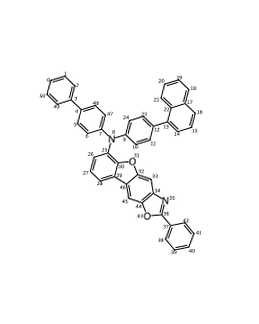 c1ccc(-c2ccc(N(c3ccc(-c4cccc5ccccc45)cc3)c3cccc4c3oc3cc5nc(-c6ccccc6)oc5cc34)cc2)cc1